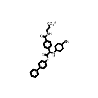 CC(C)(C)C1CCC(NC(C(=O)Oc2ccc(-c3ccccc3)cc2)c2ccc(C(=O)NCCC(=O)O)cc2)CC1